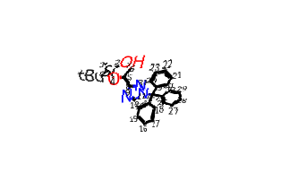 CC(C)(C)[Si](C)(C)OC(CO)c1ncn(C(c2ccccc2)(c2ccccc2)c2ccccc2)n1